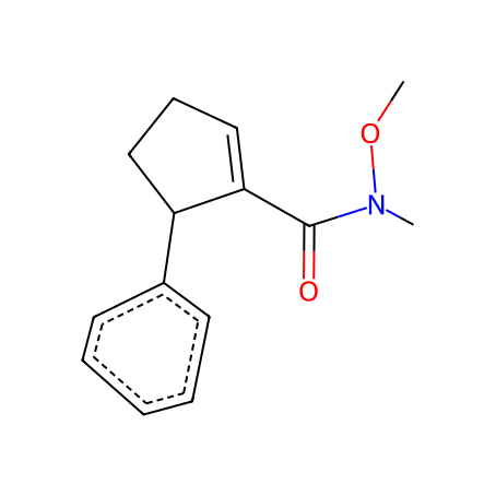 CON(C)C(=O)C1=CCCC1c1ccccc1